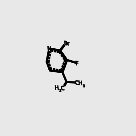 CC(C)c1ccnc(Br)c1F